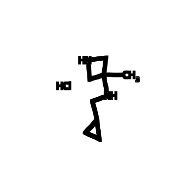 CC1(NCC2CC2)CNC1.Cl